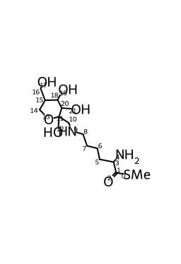 CSC(=O)C(N)CCCCNCC1(O)OCC(CO)C(O)C1O